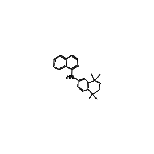 CC1(C)CCC(C)(C)c2cc(Nc3cccc4ccccc34)ccc21